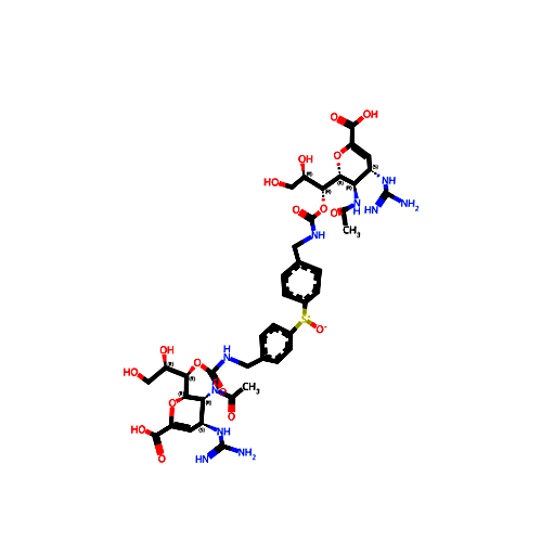 CC(=O)N[C@H]1[C@H]([C@H](OC(=O)NCc2ccc([S+]([O-])c3ccc(CNC(=O)O[C@@H]([C@@H]4OC(C(=O)O)=C[C@H](NC(=N)N)[C@H]4NC(C)=O)[C@H](O)CO)cc3)cc2)[C@H](O)CO)OC(C(=O)O)=C[C@@H]1NC(=N)N